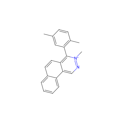 Cc1ccc(C)c(-c2c3ccc4ccccc4c3cn[n+]2C)c1